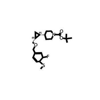 CSC1C=CC(COC[C@@H]2C[C@@H]2C2CCN(C(=O)OC(C)(C)C)CC2)=CC1F